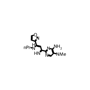 CCCN/C(=C\C(=N)c1ncc(NC)c(N)n1)c1ccon1